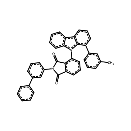 Cc1cccc(-c2cccc3c4ccccc4n(-c4cccc5c4C(=O)N(c4cccc(-c6ccccc6)c4)C5=O)c23)c1